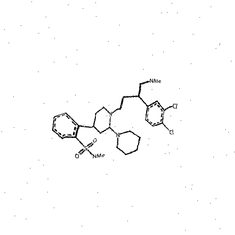 CNCC(CCN1CCC(c2ccccc2S(=O)(=O)NC)CC1N1CCCCC1)c1ccc(Cl)c(Cl)c1